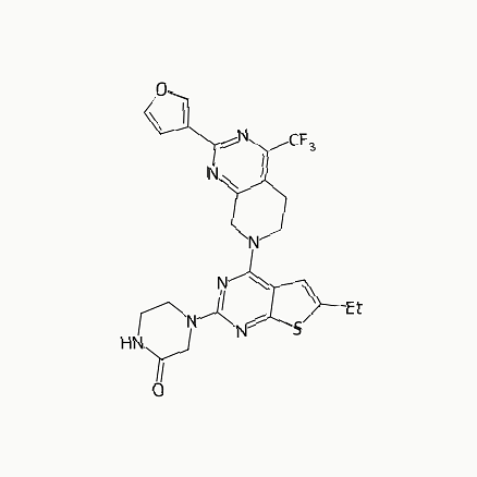 CCc1cc2c(N3CCc4c(nc(-c5ccoc5)nc4C(F)(F)F)C3)nc(N3CCNC(=O)C3)nc2s1